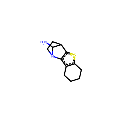 NC1C2CCN1c1c2sc2c1CCCC2